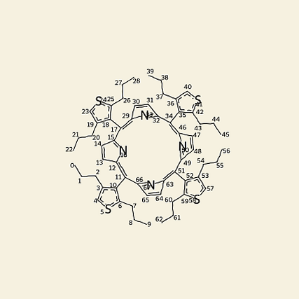 CCCc1csc(CCC)c1C1=C2C=CC(=N2)C(c2c(CCC)csc2CCC)=C2C=CC(=N2)C(c2c(CCC)csc2CCC)=C2C=CC(=N2)C(c2c(CCC)csc2CCC)=C2C=CC1=N2